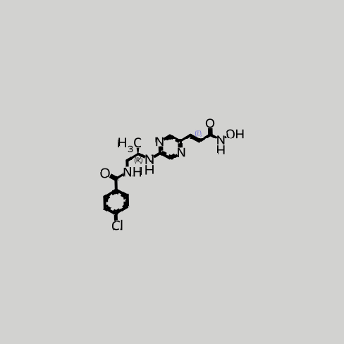 C[C@H](CNC(=O)c1ccc(Cl)cc1)Nc1cnc(/C=C/C(=O)NO)cn1